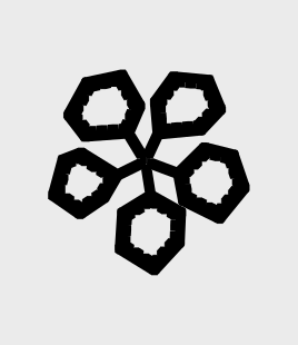 c1ccc(P(c2ccccc2)(c2ccccc2)(c2ccccc2)c2ccccc2)cc1